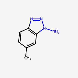 Cc1ccc2nnn(N)c2c1